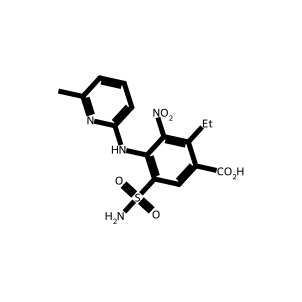 CCc1c(C(=O)O)cc(S(N)(=O)=O)c(Nc2cccc(C)n2)c1[N+](=O)[O-]